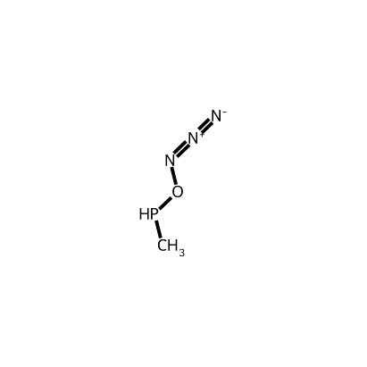 CPON=[N+]=[N-]